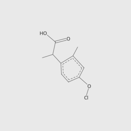 Cc1cc(OCl)ccc1C(C)C(=O)O